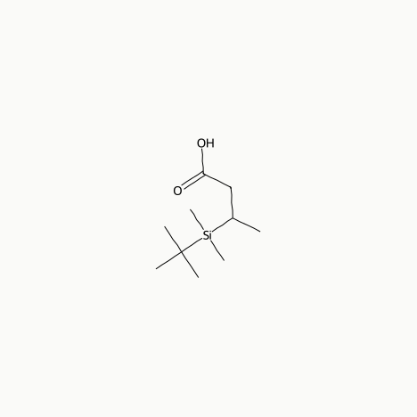 CC(CC(=O)O)[Si](C)(C)C(C)(C)C